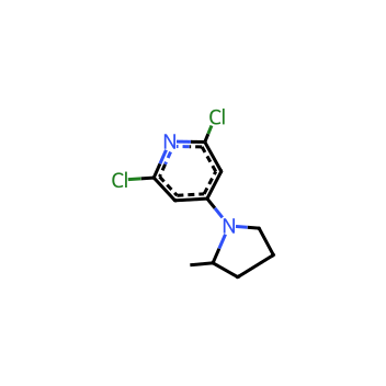 CC1CCCN1c1cc(Cl)nc(Cl)c1